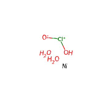 O.O.[Ni].[O-][Cl+]O